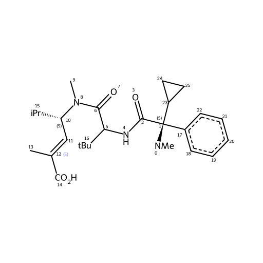 CN[C@](C(=O)NC(C(=O)N(C)[C@H](/C=C(\C)C(=O)O)C(C)C)C(C)(C)C)(c1ccccc1)C1CC1